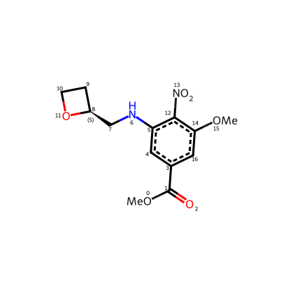 COC(=O)c1cc(NC[C@@H]2CCO2)c([N+](=O)[O-])c(OC)c1